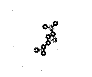 c1ccc(-c2nc(-c3ccccc3)nc(-c3ccc(-n4ccnc4-n4c5ccccc5c5cc(-c6ccc7c(c6)c6ccccc6n7-c6ccccc6)ccc54)cc3)n2)cc1